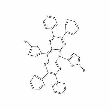 Brc1ccc(-c2c3nc(-c4ccccc4)c(-c4ccccc4)nc3c(-c3ccc(Br)s3)c3nc(-c4ccccc4)c(-c4ccccc4)nc23)s1